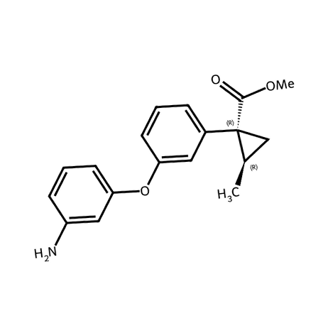 COC(=O)[C@]1(c2cccc(Oc3cccc(N)c3)c2)C[C@H]1C